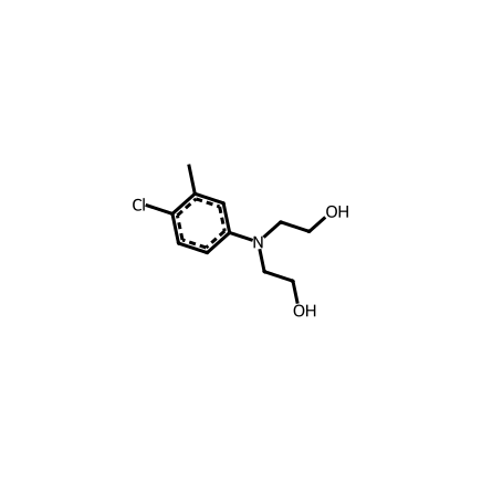 Cc1cc(N(CCO)CCO)ccc1Cl